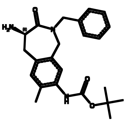 Cc1cc2c(cc1NC(=O)OC(C)(C)C)CN(Cc1ccccc1)C(=O)[C@H](N)C2